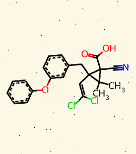 CC1(C)C(C=C(Cl)Cl)(Cc2cccc(Oc3ccccc3)c2)C1(C#N)C(=O)O